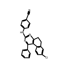 N#Cc1ccc(Nc2nc3c(c(-c4ccccc4)n2)-c2ccc(Cl)cc2CC3)cc1